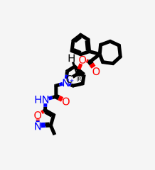 Cc1cc(NC(=O)C[N+]23CCC(CC2)[C@@H](OC(=O)C2(c4ccccc4)CCCCCC2)C3)on1